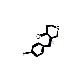 O=C1CCSC/C1=C/c1ccc(F)cc1